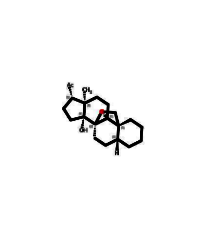 CC(=O)[C@H]1CC[C@]2(O)[C@@]34CC[C@H]5CCCC[C@]5(CO3)[C@H]4CC[C@]12C